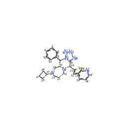 c1ccc(Cn2nnnc2C(c2cc3cccnc3s2)N2CCCN(C3CCC3)CC2)cc1